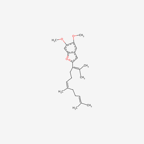 COc1cc2cc(C(CCC=C(C)CCC=C(C)C)=C(C)C)oc2cc1OC